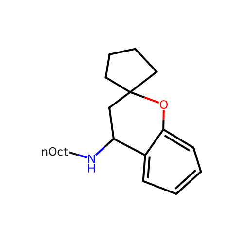 CCCCCCCCNC1CC2(CCCC2)Oc2ccccc21